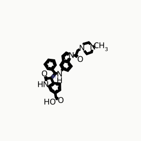 CN1CCN(CC(=O)n2ccc3cc(N/C(=C4/C(=O)Nc5cc(C(=O)O)ccc54)c4ccccc4)ccc32)CC1